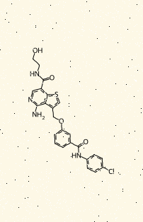 Nc1ncc(C(=O)NCCO)c2scc(COc3cccc(C(=O)Nc4ccc(Cl)cc4)c3)c12